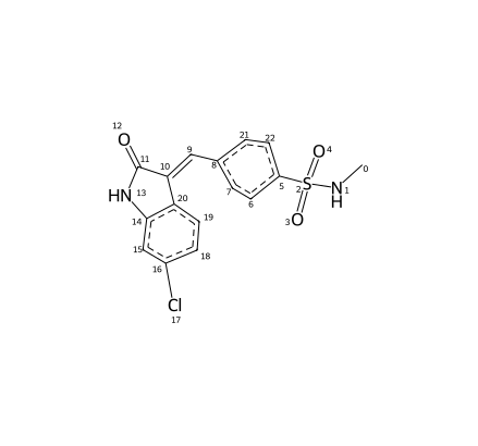 CNS(=O)(=O)c1ccc(/C=C2/C(=O)Nc3cc(Cl)ccc32)cc1